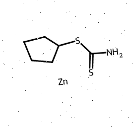 NC(=S)SC1CCCC1.[Zn]